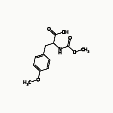 COC(=O)NC(Cc1ccc(OC)cc1)C(=O)O